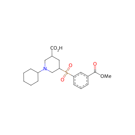 COC(=O)c1cccc(S(=O)(=O)C2CC(C(=O)O)CN(C3CCCCC3)C2)c1